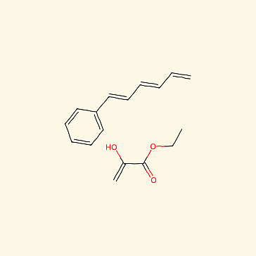 C=C(O)C(=O)OCC.C=CC=CC=Cc1ccccc1